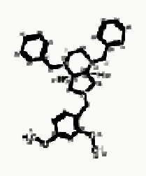 COc1ccc(CN2C[C@@H]3[C@H](C2)N(Cc2ccccc2)CCN3Cc2ccccc2)c(OC)c1